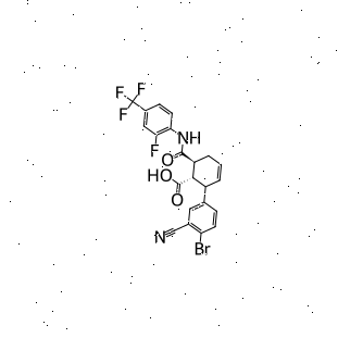 N#Cc1cc(C2C=CC[C@H](C(=O)Nc3ccc(C(F)(F)F)cc3F)[C@H]2C(=O)O)ccc1Br